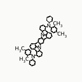 Cc1ccc(N(c2ccccc2)c2cccc3c2c2cccc4c5cc6c(cc5n3c42)c2cccc3c4c(N(c5ccc(C)cc5C)C5C=CC=CC5)cccc4n6c23)c(C)c1